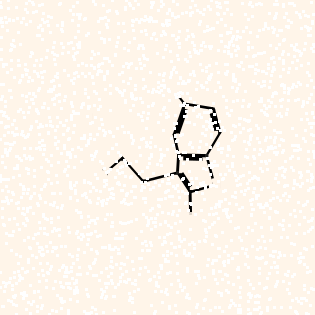 Cc1[nH]c2ccc(O)cc2c1CCN.Cl